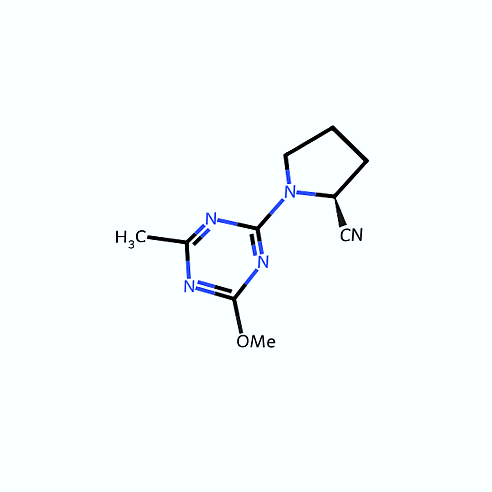 COc1nc(C)nc(N2CCC[C@H]2C#N)n1